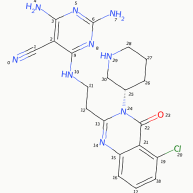 N#Cc1c(N)nc(N)nc1NCCc1nc2cccc(Cl)c2c(=O)n1[C@H]1CCCNC1